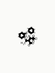 CC(=O)/C(C(=O)[O-])=C(\N)C(Cl)(Cl)Cl.[B+](c1ccccc1)c1ccccc1